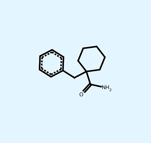 NC(=O)C1([CH]c2ccccc2)CCCCC1